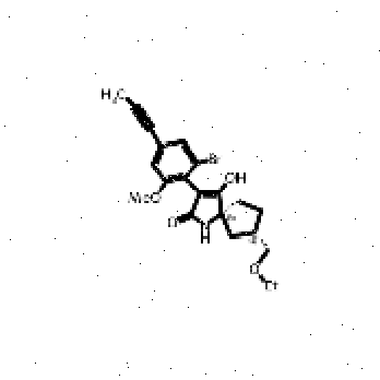 CC#Cc1cc(Br)c(C2=C(O)[C@]3(CC[C@H](COCC)C3)NC2=O)c(OC)c1